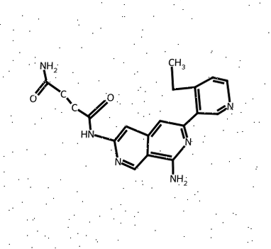 CCc1ccncc1-c1cc2cc(NC(=O)CCC(N)=O)ncc2c(N)n1